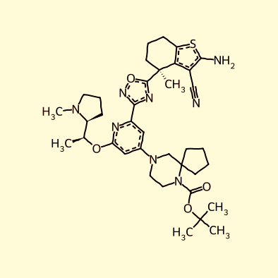 C[C@H](Oc1cc(N2CCN(C(=O)OC(C)(C)C)C3(CCCC3)C2)cc(-c2noc([C@@]3(C)CCCc4sc(N)c(C#N)c43)n2)n1)[C@@H]1CCCN1C